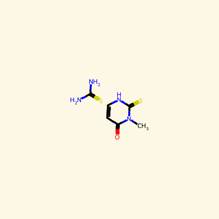 Cn1c(=O)cc[nH]c1=S.NC(N)=S